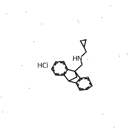 Cl.c1ccc2c(c1)C1CC2(CNCC2CC2)c2ccccc21